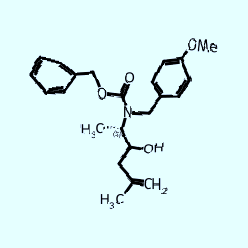 C=C(C)CC(O)[C@H](C)N(Cc1ccc(OC)cc1)C(=O)OCc1ccccc1